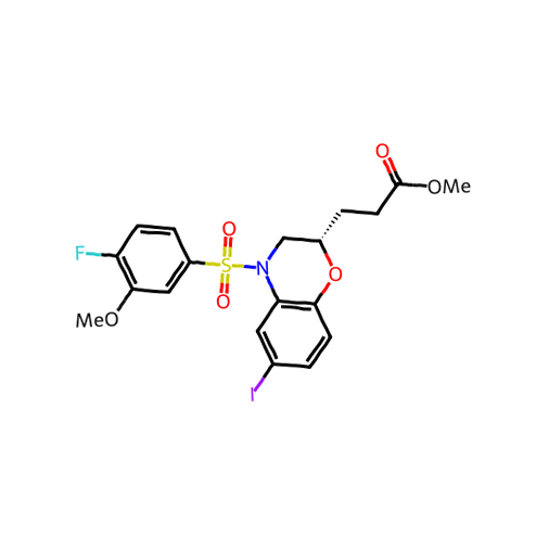 COC(=O)CC[C@H]1CN(S(=O)(=O)c2ccc(F)c(OC)c2)c2cc(I)ccc2O1